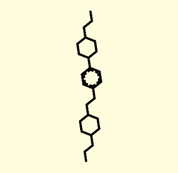 CCCC1CCC(CCc2ccc(C3CCC(CCC)CC3)cc2)CC1